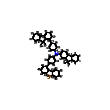 CC1(C)c2ccccc2-c2ccc(N(c3ccc(-c4cccc5c4C(C)(C)c4ccccc4-5)cc3)c3ccc(-c4cccc5sc6ccccc6c45)cc3)cc21